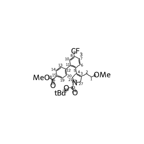 COCCC1=C(c2ccc(C(F)(F)F)cc2-c2ccc(C(=O)OC)cc2)CN(C(=O)OC(C)(C)C)C1